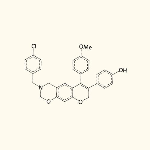 COc1ccc(C2=C(c3ccc(O)cc3)COc3cc4c(cc32)CN(Cc2ccc(Cl)cc2)CO4)cc1